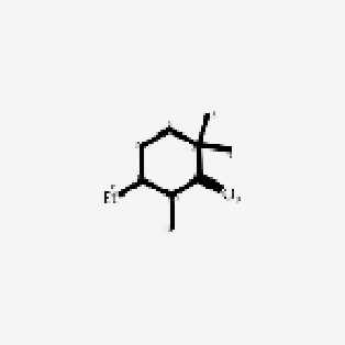 CCC1CCC(C)(C)C(=O)C1C